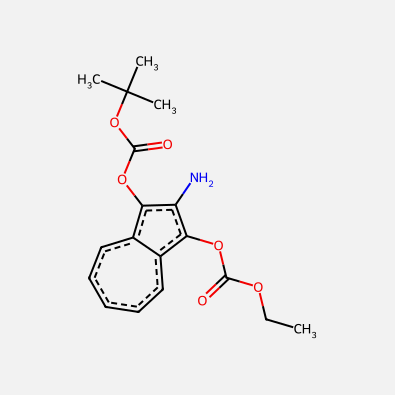 CCOC(=O)Oc1c2cccccc-2c(OC(=O)OC(C)(C)C)c1N